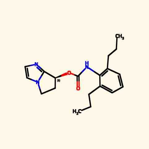 CCCc1cccc(CCC)c1NC(=O)O[C@H]1CCn2ccnc21